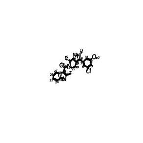 COc1cc(Cl)cc(-c2c3c(nn2C)[C@H](C)N(C(=O)c2c(C)nc4ccccn24)CC3)c1